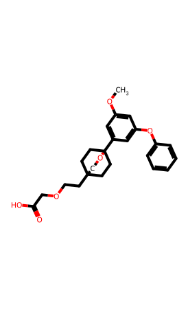 COc1cc(Oc2ccccc2)cc(C23CCC(CCOCC(=O)O)(CC2)CO3)c1